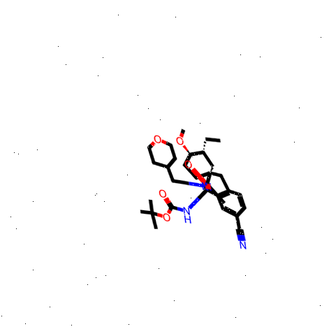 CC[C@@H]1C[C@]2(CC[C@H]1OC)Cc1ccc(C#N)cc1[C@]21N=C(NC(=O)OC(C)(C)C)N(CC2CCOCC2)C1=O